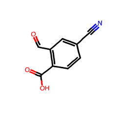 N#Cc1ccc(C(=O)O)c(C=O)c1